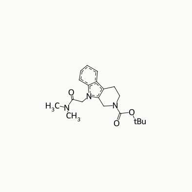 CN(C)C(=O)Cn1c2c(c3ccccc31)CCN(C(=O)OC(C)(C)C)C2